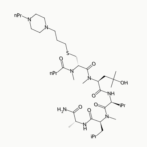 CCCC(=O)N(C)[C@H](CSCCCN1CCN(CCC)CC1)C(=O)N(C)[C@@H](CC(C)(C)O)C(=O)N[C@H](C(=O)N(C)[C@@H](CC(C)C)C(=O)N[C@H](C)C(N)=O)C(C)C